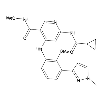 CONC(=O)c1cnc(NC(=O)C2CC2)cc1Nc1cccc(-c2ccn(C)n2)c1OC